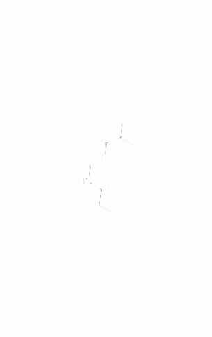 C=CC(=O)NC(C)OC(=O)C(=C)C